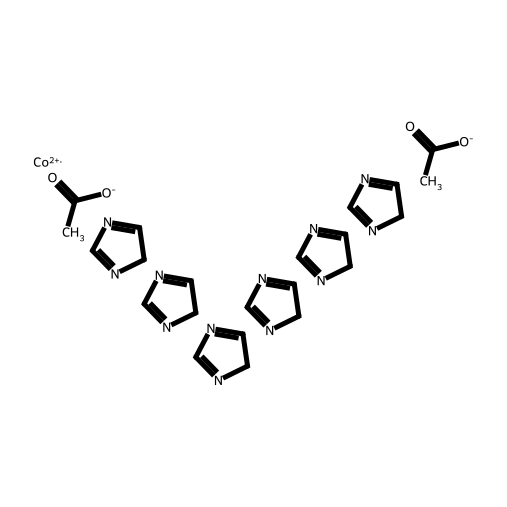 C1=NC=NC1.C1=NC=NC1.C1=NC=NC1.C1=NC=NC1.C1=NC=NC1.C1=NC=NC1.CC(=O)[O-].CC(=O)[O-].[Co+2]